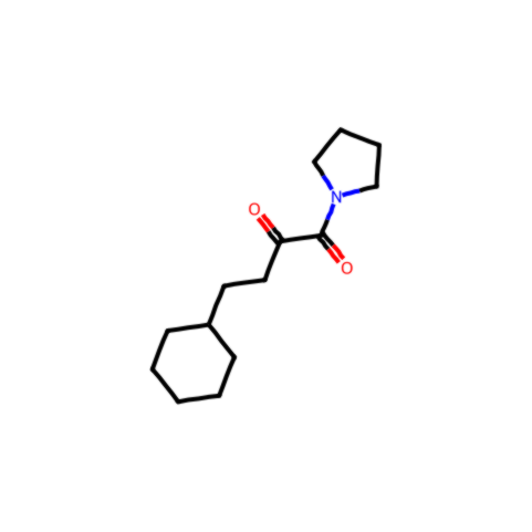 O=C(CCC1CCCCC1)C(=O)N1CCCC1